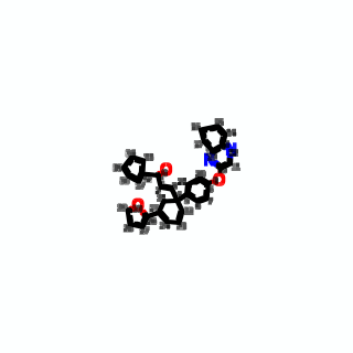 O=C(/C=C/C1(c2ccc(Oc3cnc4ccccc4n3)cc2)C=CC=C(c2ccco2)C1)c1ccccc1